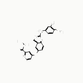 CNC(=O)c1cc(Oc2ccc3nc(Nc4ccc(OC)c(Cl)c4)ncc3c2)ccn1